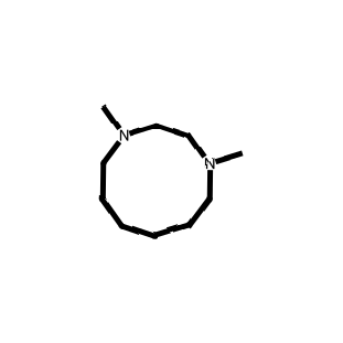 CN1CCCCCCN(C)CC1